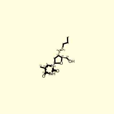 CCCSS[C@H]1C[C@H](n2cc(C)c(=O)[nH]c2=O)O[C@@H]1CO